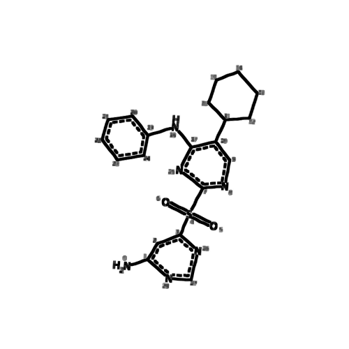 Nc1cc(S(=O)(=O)c2ncc(C3CCCCC3)c(Nc3ccccc3)n2)ncn1